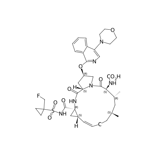 C[C@H]1CCC=C[C@@H]2C[C@@]2(C(=O)NS(=O)(=O)C2(CF)CC2)NC(=O)[C@@H]2C[C@@H](Oc3ncc(N4CCOCC4)c4ccccc34)CN2C(=O)[C@@H](NC(=O)O)[C@H](C)C1